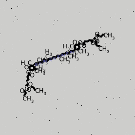 CCCC(=O)OC[C@H](CCCC(=O)OC1CC(C)(C)C(/C=C/C(C)=C/C=C/C(C)=C/C=C/C=C(C)/C=C/C=C(C)/C=C/C2=C(C)C(=O)C(OC(=O)CCC[C@@H](COC(=O)CCC)OC(=O)CCC)CC2(C)C)=C(C)C1=O)OC(=O)CCC